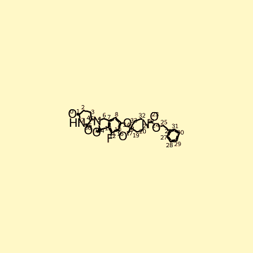 O=C1CC[C@H](N2Cc3cc4c(c(F)c3C2=O)OCC2(CCN(C(=O)OCc3ccccc3)CC2)O4)C(=O)N1